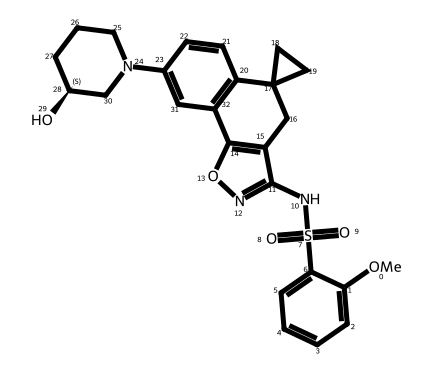 COc1ccccc1S(=O)(=O)Nc1noc2c1CC1(CC1)c1ccc(N3CCC[C@H](O)C3)cc1-2